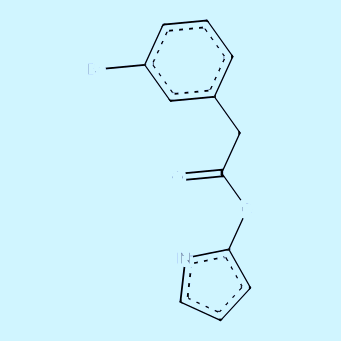 O=C(Cc1cccc(Br)c1)Oc1ccc[nH]1